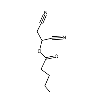 CCCCC(=O)OC(C#N)CC#N